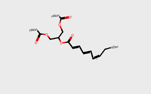 CCCCCCCCCCC/C=C\C=CC=CC(=O)OC(COC(=O)CCCCCCCCC)COC(=O)CCCCCCCCC